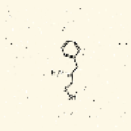 N[C@@H](CSS)Cc1ccccc1